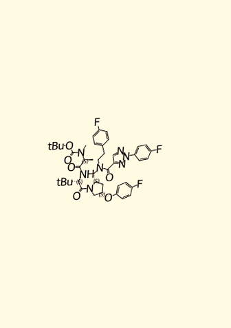 C[C@@H](C(=O)N[C@H](C(=O)N1C[C@@H](Oc2ccc(F)cc2)C[C@H]1CN(CCc1ccc(F)cc1)C(=O)c1cnn(-c2ccc(F)cc2)n1)C(C)(C)C)N(C)C(=O)OC(C)(C)C